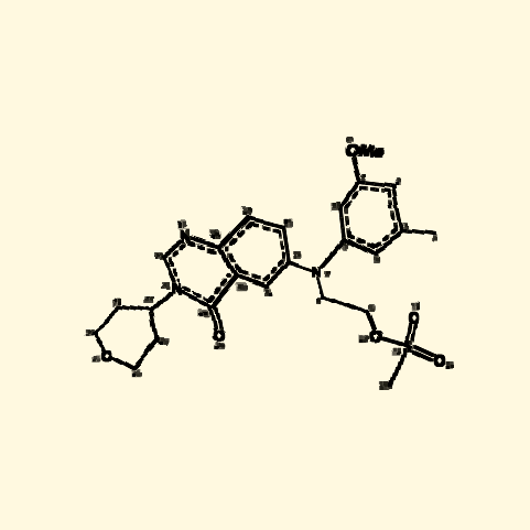 COc1cc(C)cc(N(CCOS(C)(=O)=O)c2ccc3ncn(C4CCOCC4)c(=O)c3c2)c1